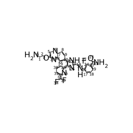 NCCOc1cnc2ccc(-c3[nH]c(CNc4cccc(C(N)=O)c4F)nc3-c3cccc(C(F)F)n3)cc2n1